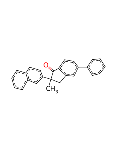 CC1(c2ccc3ccccc3c2)Cc2cc(-c3ccccc3)ccc2C1=O